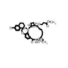 CC[C@@H]1CC/C=C/[C@H](OCCC(=O)OC)[C@@H]2CC[C@H]2CN2C[C@@]3(CCCc4cc(Cl)ccc43)COc3ccc(cc32)C(=O)NS1(=O)=O